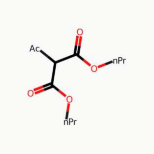 CCCOC(=O)C(C(C)=O)C(=O)OCCC